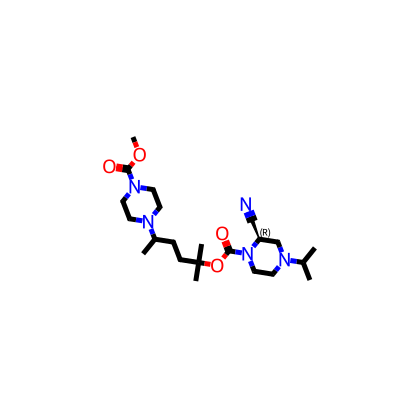 COC(=O)N1CCN(C(C)CCC(C)(C)OC(=O)N2CCN(C(C)C)C[C@@H]2C#N)CC1